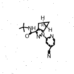 CC(C)(C)NC(=O)c1nn(-c2cc(C#N)ccn2)c2c1C[C@H]1C[C@@H]21